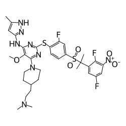 COc1c(Nc2cc(C)[nH]n2)nc(Sc2ccc(S(=O)(=O)C(C)(C)c3cc(F)cc([N+](=O)[O-])c3F)cc2F)nc1N1CCC(CCN(C)C)CC1